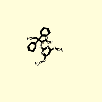 COc1cc(OC)nc(O[C@H](C(=O)O)C(CO)(c2ccccc2)c2ccccc2)n1